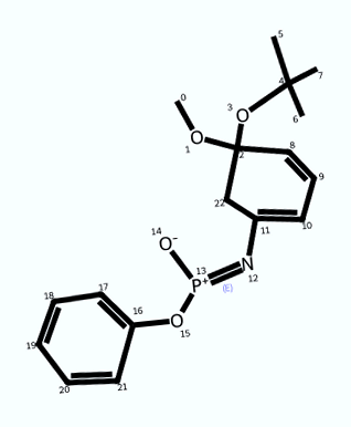 COC1(OC(C)(C)C)C=CC=C(/N=[P+](\[O-])Oc2ccccc2)C1